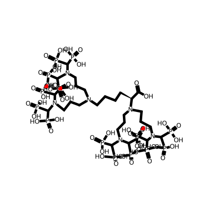 O=C(O)[C@H](CCCCN(CCCN(C(P(=O)(O)O)P(=O)(O)O)C(P(=O)(O)O)P(=O)(O)O)CCCN(C(P(=O)(O)O)P(=O)(O)O)C(P(=O)(O)O)P(=O)(O)O)N(CCCN(C(P(=O)(O)O)P(=O)(O)O)C(P(=O)(O)O)P(=O)(O)O)CCCN(C(P(=O)(O)O)P(=O)(O)O)C(P(=O)(O)O)P(=O)(O)O